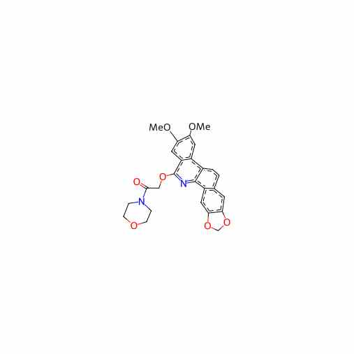 COc1cc2c(OCC(=O)N3CCOCC3)nc3c4cc5c(cc4ccc3c2cc1OC)OCO5